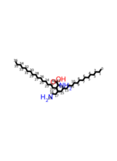 CCCCCCCCCCCCCCCCC(CCN)C(CCCCCCCCCCCCCCCC)C(N)C(=O)O